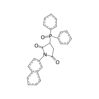 O=C1CC(P(=O)(c2ccccc2)c2ccccc2)C(=O)N1c1ccc2ccccc2c1